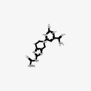 CNC(=O)Nc1nc2c(s1)CN(c1cc(C(N)=O)nc(Cl)n1)CC2